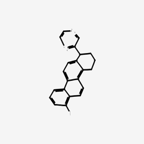 Ic1cccc2c1ccc1c3c(ccc12)C(c1cnccn1)CCC3